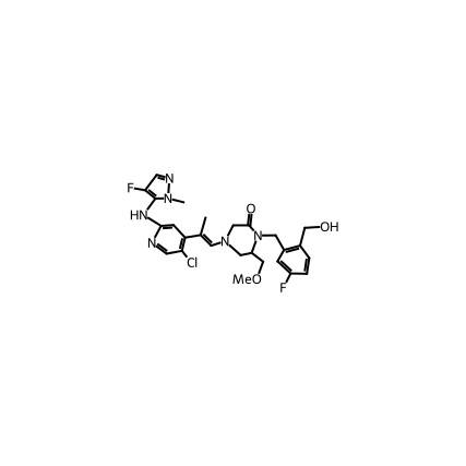 COCC1CN(/C=C(\C)c2cc(Nc3c(F)cnn3C)ncc2Cl)CC(=O)N1Cc1cc(F)ccc1CO